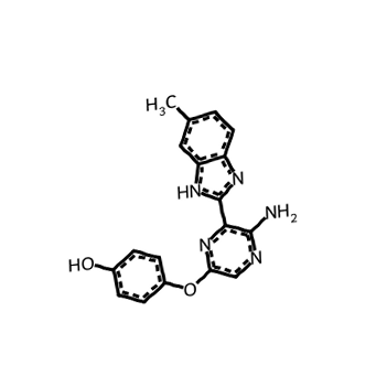 Cc1ccc2nc(-c3nc(Oc4ccc(O)cc4)cnc3N)[nH]c2c1